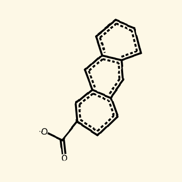 [O]C(=O)c1ccc2cc3ccccc3cc2c1